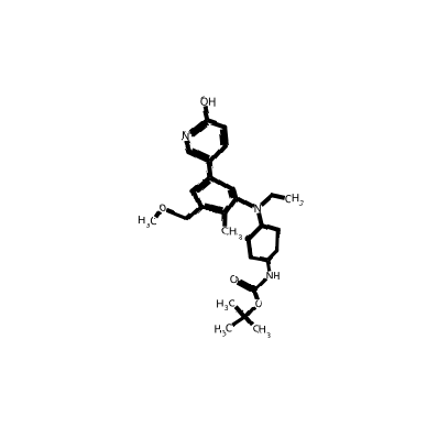 CCN(c1cc(-c2ccc(O)nc2)cc(COC)c1C)C1CCC(NC(=O)OC(C)(C)C)CC1